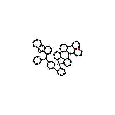 c1ccc(-c2ccccc2N(c2ccccc2)c2cccc3c2-c2ccccc2C32c3ccccc3-c3ccc(N(c4ccccc4)c4cccc5c4oc4ccccc45)cc32)cc1